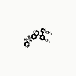 Cn1nccc1-c1cc(C(F)(F)F)ccc1[C@H]1CCOc2cc(S(=O)(=O)Nc3ccncn3)ccc21